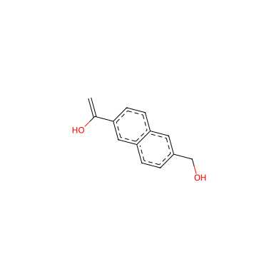 C=C(O)c1ccc2cc(CO)ccc2c1